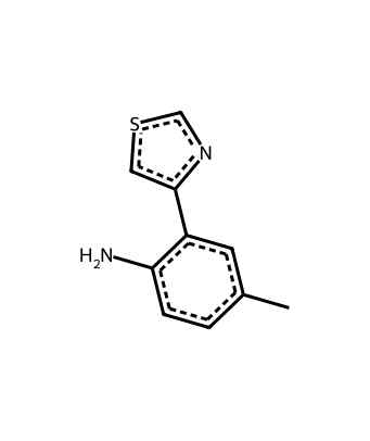 Cc1ccc(N)c(-c2cscn2)c1